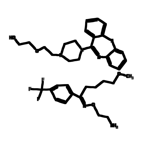 COCCCC/C(=N\OCCN)c1ccc(C(F)(F)F)cc1.OCCOCCN1CCN(C2=Nc3ccccc3Sc3ccccc32)CC1